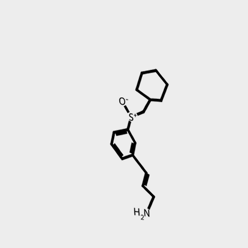 NCC=Cc1cccc([S+]([O-])CC2CCCCC2)c1